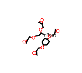 C1CC(OCC2CO2)CCC1OCC1CO1.CCCCCC(CCOCC1CO1)OCC1CO1